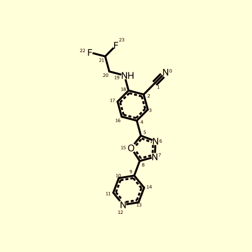 N#Cc1cc(-c2nnc(-c3ccncc3)o2)ccc1NCC(F)F